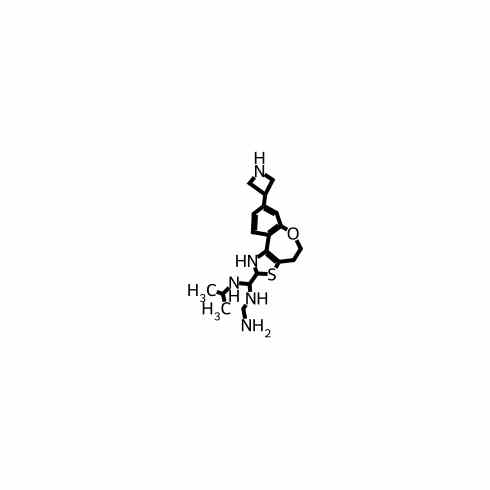 CC(C)NC(NCN)C1NC2=C(CCOc3cc(C4CNC4)ccc32)S1